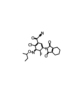 CCC(C)ON=C1C(Cl)=C(C(=O)C#N)C=C(N2C(=O)C3=C(CCCC3)C2=O)C1F